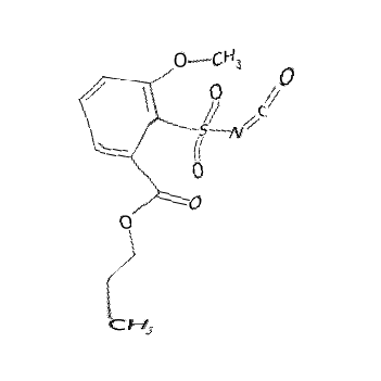 CCCOC(=O)c1cccc(OC)c1S(=O)(=O)N=C=O